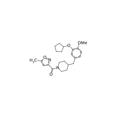 COc1ccc(CC2CCN(C(=O)c3cc(C)on3)CC2)cc1OC1CCCC1